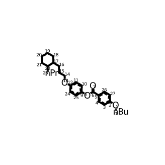 CCCCOc1ccc(C(=O)Oc2ccc(OCCCC3CCCCC3CCC)cc2)cc1